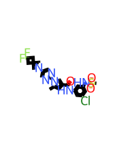 Cc1cc(C(=O)Nc2cc(Cl)cc(NS(C)(=O)=O)c2)cn1-c1ncc(N2CC3(C2)CC(F)(F)C3)cn1